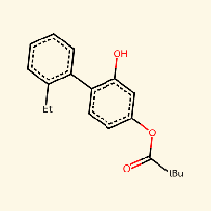 CCc1ccccc1-c1ccc(OC(=O)C(C)(C)C)cc1O